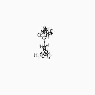 CC(C)(C)OC(=O)N1C[C@@H]2C(C#Cc3cc(F)c(-c4c(Cl)nc5ncnn5c4NCC(F)(F)F)c(F)c3)[C@@H]2C1